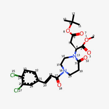 COC(=O)[C@H](CC(=O)OC(C)(C)C)N1CCN(C(=O)/C=C/c2ccc(Cl)c(Cl)c2)CCC1=O